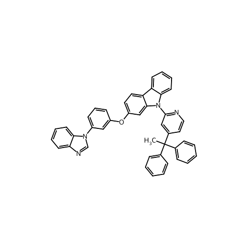 CC(c1ccccc1)(c1ccccc1)c1ccnc(-n2c3ccccc3c3ccc(Oc4cccc(-n5cnc6ccccc65)c4)cc32)c1